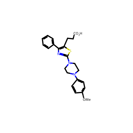 COc1ccc(N2CCN(c3nc(-c4ccccc4)c(CCC(=O)O)s3)CC2)cc1